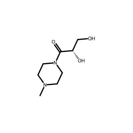 CN1CCN(C(=O)[C@@H](O)CO)CC1